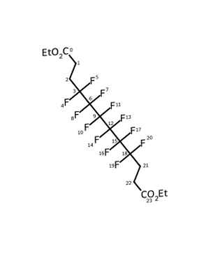 CCOC(=O)CCC(F)(F)C(F)(F)C(F)(F)C(F)(F)C(F)(F)C(F)(F)CCC(=O)OCC